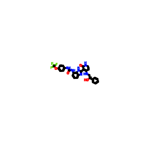 O=C(Nc1ccc(OC(F)(F)F)cc1)Nc1cccc2nc(-c3c(NC[C@H](O)c4ccccc4)cc[nH]c3=O)[nH]c12